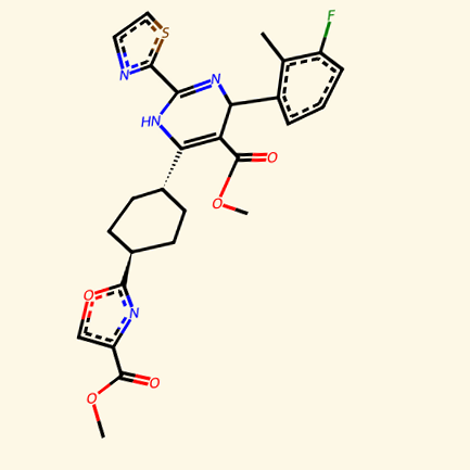 COC(=O)C1=C([C@H]2CC[C@H](c3nc(C(=O)OC)co3)CC2)NC(c2nccs2)=NC1c1cccc(F)c1C